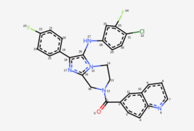 O=C(c1ccc2ncccc2c1)N1CCn2c(nc(-c3ccc(F)cc3)c2Nc2ccc(Cl)c(F)c2)C1